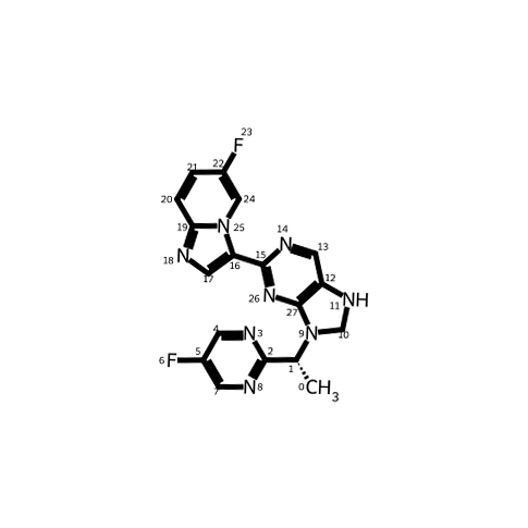 C[C@H](c1ncc(F)cn1)N1CNc2cnc(-c3cnc4ccc(F)cn34)nc21